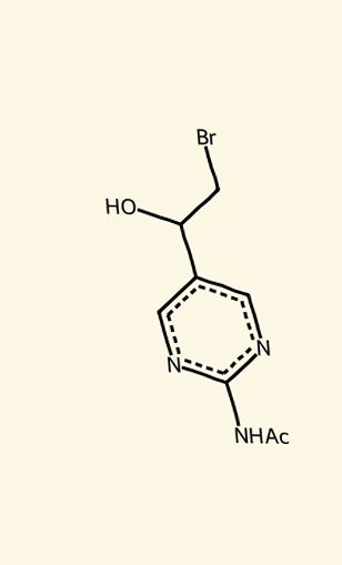 CC(=O)Nc1ncc(C(O)CBr)cn1